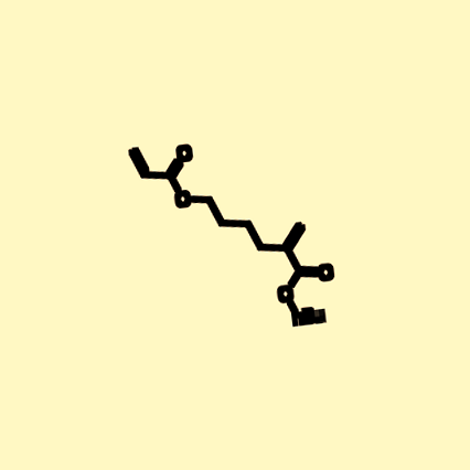 C=CC(=O)OCCCCC(=C)C(=O)OCCCC